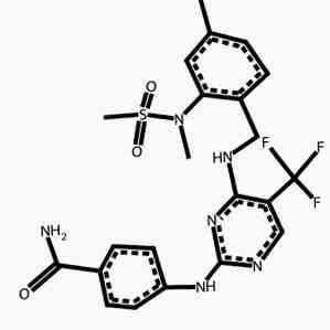 Cc1ccc(CNc2nc(Nc3ccc(C(N)=O)cc3)ncc2C(F)(F)F)c(N(C)S(C)(=O)=O)c1